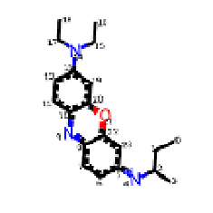 CCC(C)/N=c1/ccc2nc3ccc(N(CC)CC)cc3oc-2c1